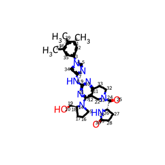 Cc1cc(-n2cnc(Nc3nc4c(c(N5CCC[C@H]5CO)n3)CN(C(=O)[C@@H]3CCC(=O)N3)CC4)c2)cc(C)c1C